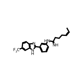 C/C=C\CCCC(=N)Nc1cccc(-c2nc3ccc(C(F)(F)F)cc3[nH]2)c1